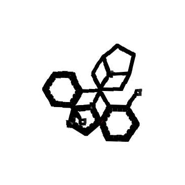 Clc1ccccc1C(c1ccccc1Cl)N1C2CCC1CC(n1ccnc1)C2